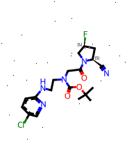 CC(C)(C)OC(=O)N(CCNc1ccc(Cl)cn1)CC(=O)N1C[C@@H](F)C[C@H]1C#N